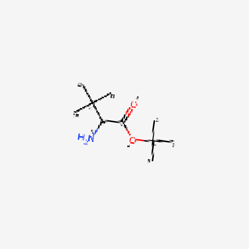 CC(C)(C)OC(=O)C(N)C(C)(C)C